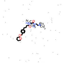 CN(C)CCNC(=O)C(C)(C)NC(=O)CCCc1ccc(COC2CCCCO2)cc1